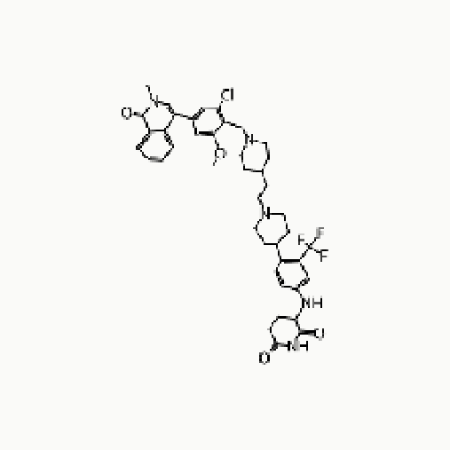 COc1cc(-c2cn(C)c(=O)c3ccccc23)cc(Cl)c1CN1CCC(CCN2CCC(c3ccc(NC4CCC(=O)NC4=O)cc3C(F)(F)F)CC2)CC1